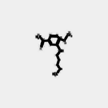 COCCCNc1cc(C(N)=O)ccc1OC